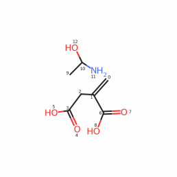 C=C(CC(=O)O)C(=O)O.CC(N)O